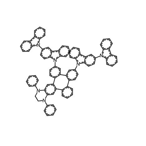 c1ccc(N2CCN(c3ccccc3)c3cc4c(cc32)-c2ccccc2-c2ccc(-n3c5ccccc5c5cc(-n6c7ccccc7c7ccccc76)ccc53)cc2-c2cc(-n3c5ccccc5c5cc(-n6c7ccccc7c7ccccc76)ccc53)ccc2-4)cc1